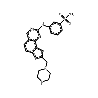 NS(=O)(=O)c1cccc(Nc2ncc3ccc4sc(CN5CCNCC5)cc4c3n2)c1